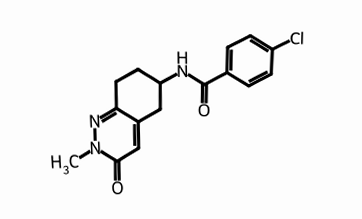 Cn1nc2c(cc1=O)CC(NC(=O)c1ccc(Cl)cc1)CC2